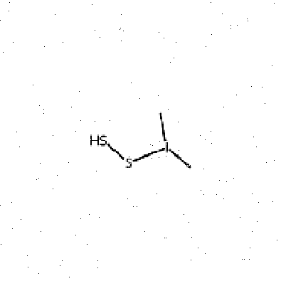 CI(C)SS